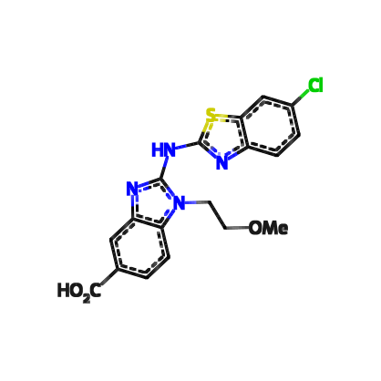 COCCn1c(Nc2nc3ccc(Cl)cc3s2)nc2cc(C(=O)O)ccc21